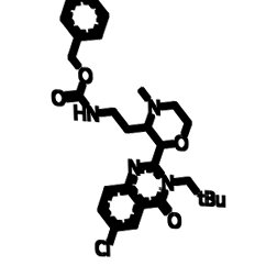 CN1CCOC(c2nc3ccc(Cl)cc3c(=O)n2CC(C)(C)C)C1CCNC(=O)OCc1ccccc1